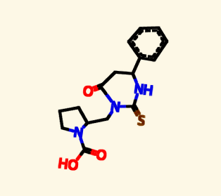 O=C1CC(c2ccccc2)NC(=S)N1CC1CCCN1C(=O)O